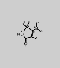 CC(C(=O)O)=C(N(C)C)C(C)(C)C